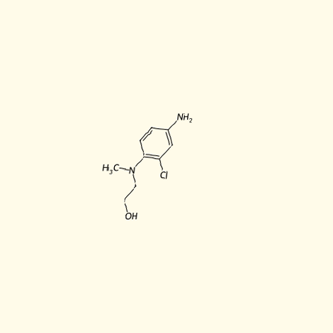 CN(CCO)c1ccc(N)cc1Cl